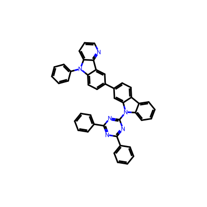 c1ccc(-c2nc(-c3ccccc3)nc(-n3c4ccccc4c4ccc(-c5ccc6c(c5)c5ncccc5n6-c5ccccc5)cc43)n2)cc1